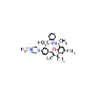 C=C1C(C)=C(c2ccc(N3CCN(C)CC3)cc2)Oc2c1cc(C)cc2C(C)Nc1ccccc1C(=O)O